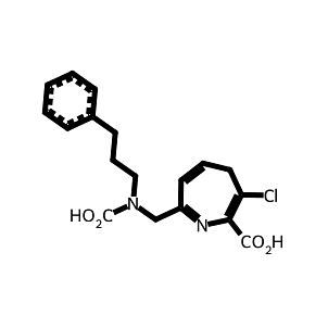 O=C(O)C1=C(Cl)CC=CC(CN(CCCc2ccccc2)C(=O)O)=N1